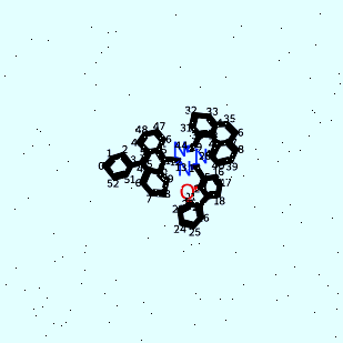 c1ccc(-c2c3ccccc3c(-c3nc(-c4cccc5c4oc4ccccc45)nc(-c4cccc5ccc6ccccc6c45)n3)c3ccccc23)cc1